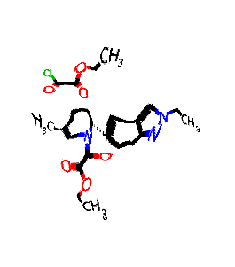 CCOC(=O)C(=O)Cl.CCOC(=O)C(=O)N1C[C@@H](C)CC[C@@H]1c1ccc2nn(CC)cc2c1